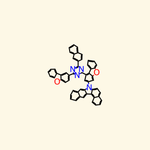 c1ccc2cc(-c3nc(-c4ccc5oc6ccccc6c5c4)nc(-c4cc(-n5c6cc7ccccc7cc6c6c7ccccc7ccc65)cc5oc6ccccc6c45)n3)ccc2c1